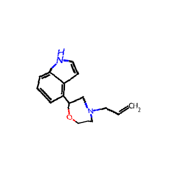 C=CCN1CCOC(c2cccc3[nH]ccc23)C1